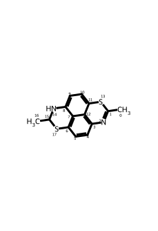 CC1=Nc2ccc3c4c(ccc(c24)S1)NC(C)S3